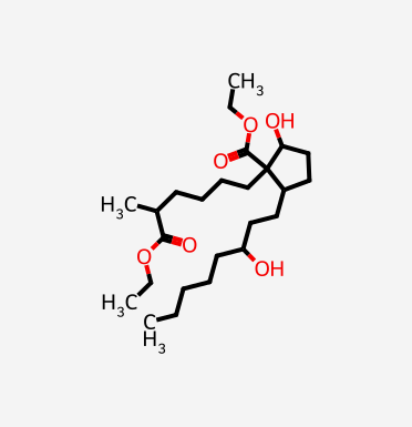 CCCCCC(O)CCC1CCC(O)C1(CCCCC(C)C(=O)OCC)C(=O)OCC